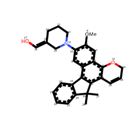 COc1cc2c3c(c4c(c2cc1N1CCCC(=CO)C1)-c1ccccc1C4(C)C)C=CCO3